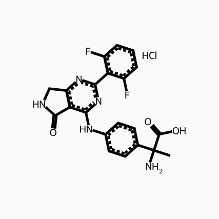 CC(N)(C(=O)O)c1ccc(Nc2nc(-c3c(F)cccc3F)nc3c2C(=O)NC3)cc1.Cl